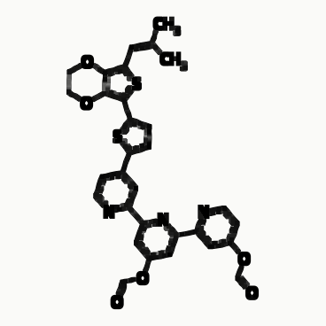 CC(C)=Cc1sc(-c2ccc(-c3ccnc(-c4cc(OC=O)cc(-c5cc(OC=O)ccn5)n4)c3)s2)c2c1OCCO2